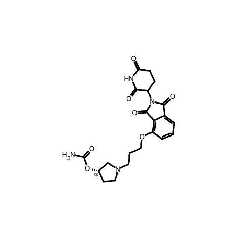 NC(=O)O[C@H]1CCN(CCCOc2cccc3c2C(=O)N(C2CCC(=O)NC2=O)C3=O)C1